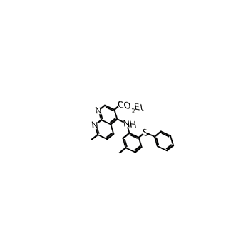 CCOC(=O)c1cnc2nc(C)ccc2c1Nc1cc(C)ccc1Sc1ccccc1